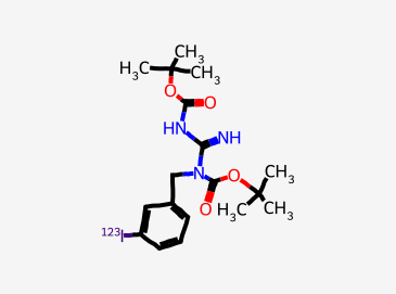 CC(C)(C)OC(=O)NC(=N)N(Cc1cccc([123I])c1)C(=O)OC(C)(C)C